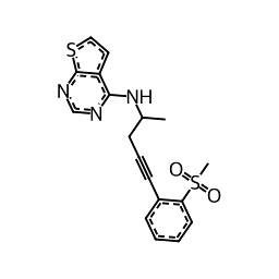 CC(CC#Cc1ccccc1S(C)(=O)=O)Nc1ncnc2sccc12